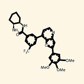 COc1cc(-c2cc3nccc(-c4cc(C(=O)N[C@@H]5CCCC[C@@H]5N)cc(C(F)(F)F)c4)c3o2)cc(OC)c1OC